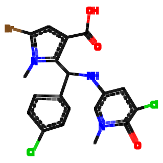 Cn1c(Br)cc(C(=O)O)c1C(Nc1cc(Cl)c(=O)n(C)c1)c1ccc(Cl)cc1